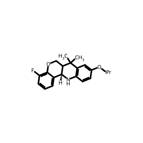 CC(C)Oc1ccc2c(c1)C(C)(C)C1COc3c(F)cccc3[C@H]1N2